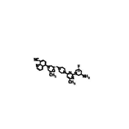 Cc1cc(N2CCN(C[C@H]3CN(c4ccc(C#N)c5ncccc45)C[C@@H](C)O3)CC2)nc(N2CC(N)C[C@@H](F)C2)n1